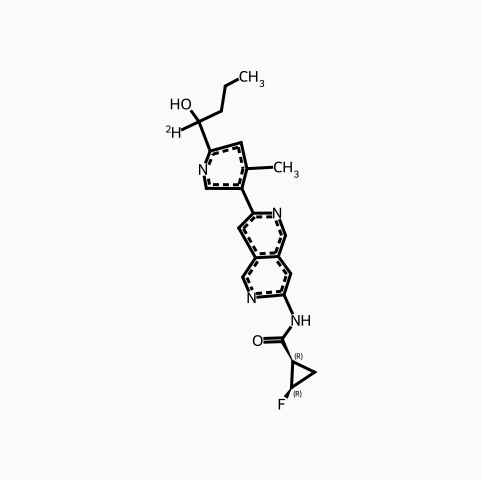 [2H]C(O)(CCC)c1cc(C)c(-c2cc3cnc(NC(=O)[C@H]4C[C@H]4F)cc3cn2)cn1